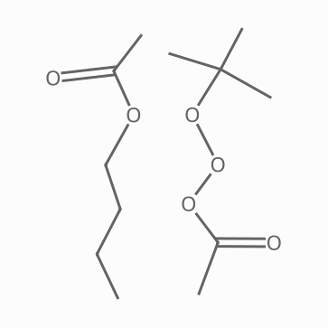 CC(=O)OOOC(C)(C)C.CCCCOC(C)=O